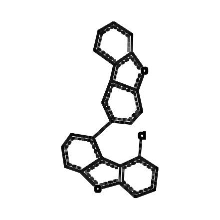 Clc1cccc2oc3cccc(-c4ccc5oc6ccccc6c5c4)c3c12